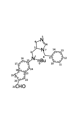 CCCCN(CC1CN=CN1Cc1ccccc1)c1ccc2sc(C=O)cc2c1